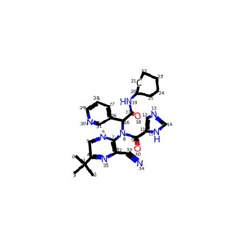 CC(C)(C)c1cnc(N(C(=O)c2cnc[nH]2)C(C(=O)NC2CCCCC2)c2cccnc2)c(C#N)n1